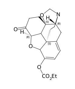 CCOC(=O)OC1=CC=C2C[C@H]3N4CC[C@@]25C1O[C@H]1C(=O)CC[C@]3(OC4)C15